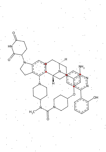 CN(C(=O)N1CCC(Oc2cccc(N3[C@H]4COC[C@H]3CN(c3cc(-c5ccccc5O)nnc3N)C4)c2)CC1)C1CCN(c2cccc3c2CCN3C2CCC(=O)NC2=O)CC1